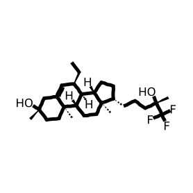 CC[C@@H]1C=C2C[C@@](C)(O)CC[C@]2(C)[C@H]2CC[C@]3(C)[C@@H](CCC[C@](C)(O)C(F)(F)F)CC[C@H]3[C@H]12